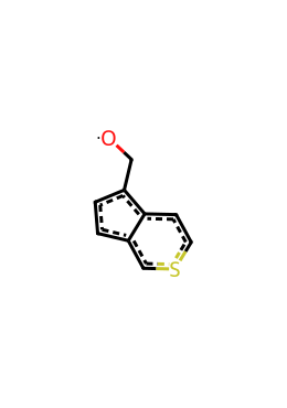 [O]Cc1ccc2csccc1-2